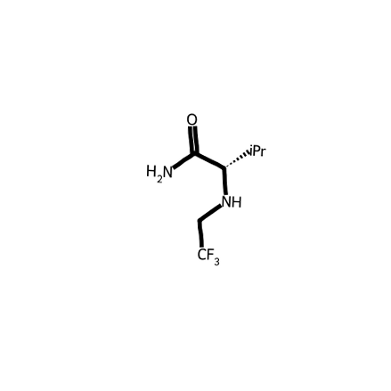 CC(C)[C@H](NCC(F)(F)F)C(N)=O